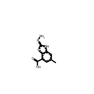 Cc1cc(C(=O)O)c2s/c(=N/N)[nH]c2c1